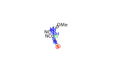 COc1ccc(CN(c2nc(Nc3cc(C#N)cc(N4Cc5cn(C6CCS(=O)(=O)CC6)nc5[C@@H]4C)c3Cl)nc3c(C#N)cnn23)C2CC2)cc1